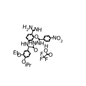 CCOc1cc(C(Nc2ccc(C(=N)N)cc2)C(=O)NNC(=O)c2ccc([N+](=O)[O-])cc2)ccc1OC(C)C.O=C(O)C(F)(F)F